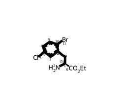 CCOC(=O)[C@@H](N)Cc1cc(Cl)ccc1Br